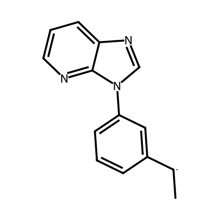 C[CH]c1cccc(-n2cnc3cccnc32)c1